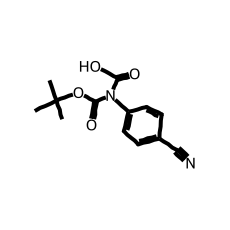 CC(C)(C)OC(=O)N(C(=O)O)c1ccc(C#N)cc1